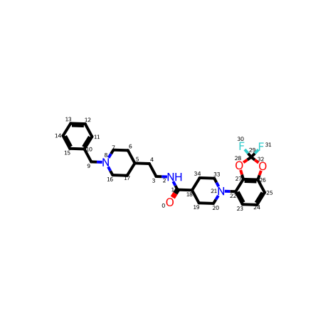 O=C(NCCC1CCN(Cc2ccccc2)CC1)C1CCN(c2cccc3c2OC(F)(F)O3)CC1